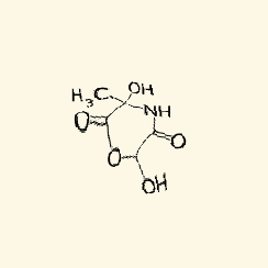 CC1(O)NC(=O)C(O)OC1=O